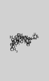 CCOP(=O)(COCC1O[C@@H](n2cnc3c(NCc4ccccc4)nc(Cl)nc32)[C@@H]2OC(C)(C)O[C@H]12)OCC